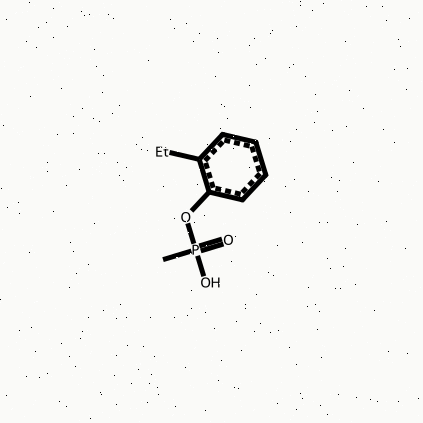 CCc1ccccc1OP(C)(=O)O